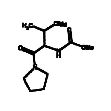 COC(=O)NC(C(=O)N1CCCC1)C(C)OC